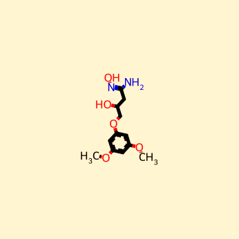 COc1cc(OC)cc(OCC(O)CC(N)=NO)c1